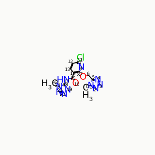 Cn1nnnc1COc1nc(Cl)ccc1C(=O)Nc1nnnn1C